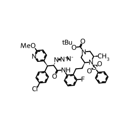 COc1ccc([C@H](c2ccc(Cl)cc2)[C@H](N=[N+]=[N-])C(=O)Nc2cccc(F)c2CC[C@H]2CN(C(=O)OC(C)(C)C)C[C@@H](C)N2S(=O)(=O)c2ccccc2)cn1